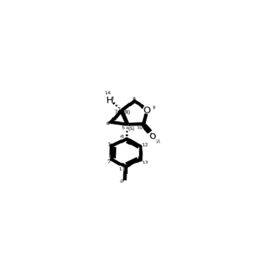 Cc1ccc([C@]23C[C@H]2COC3=O)cc1